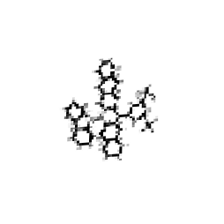 CC(C)(C)c1cc(C2c3cc4cc5ccccc5cc4cc3B3c4c2cc2ccccc2c4-c2cccc4c5ccccc5n3c24)cc(C(C)(C)C)c1